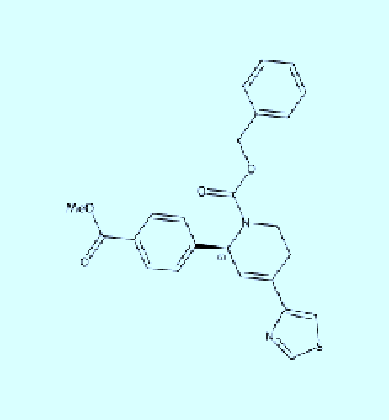 COC(=O)c1ccc([C@@H]2C=C(c3cscn3)CCN2C(=O)OCc2ccccc2)cc1